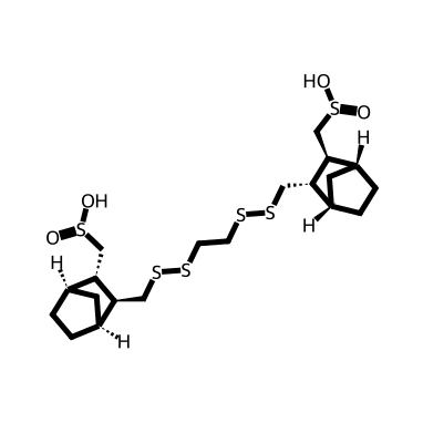 O=S(O)C[C@H]1[C@@H]2CC[C@@H](C2)[C@@H]1CSSCCSSC[C@H]1[C@H]2CC[C@H](C2)[C@@H]1CS(=O)O